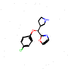 Clc1ccc(O[C@H](c2ncco2)C2CCNC2)cc1